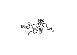 Cc1ccc(S(=O)(=O)OCC2CN(C(=O)OC(C)(C)C)CCC2OS(=O)(=O)c2ccc(C)cc2)cc1